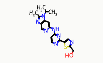 Cc1nc2cnc(Nc3ccnc(-c4cnc(CO)s4)n3)cc2n1C(C)C